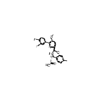 COc1ccc(C(=O)N[C@@H](CC(=O)O)c2ccc(C)cc2)nc1-c1ccc(F)c(F)c1